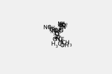 CC(C)(O)C(F)CN1Cc2cc(NC(=O)c3cnn4cccnc34)c(N3CCC(C#N)CC3)cc2C1=O